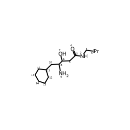 CC(C)CNC(=O)CC(O)C(N)CC1CCCCC1